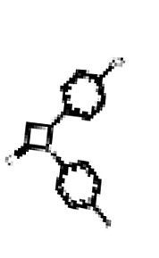 N#Cc1ccc(C2CC(=O)N2c2ccc(F)cc2)cc1